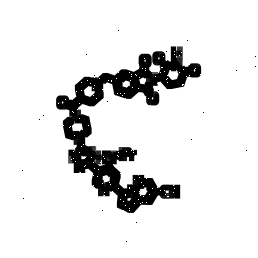 CC(C)Nc1cc(-c2ccc3cc(C#N)cnn23)ncc1-c1nnc(N2CCN(C(=O)C3CCN(Cc4ccc5c(c4)C(=O)N(C4CCC(=O)NC4=O)C5=O)CC3)CC2)s1